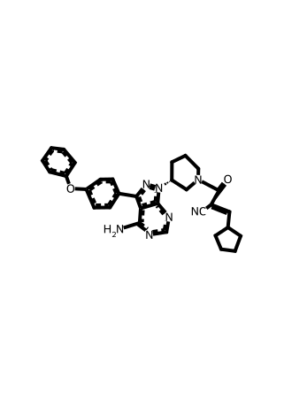 N#C/C(=C\C1CCCC1)C(=O)N1CCC[C@@H](n2nc(-c3ccc(Oc4ccccc4)cc3)c3c(N)ncnc32)C1